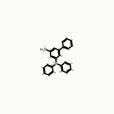 Nc1cc(-c2ccccc2)cc(N(c2ccccc2)c2ccccc2)c1